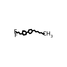 CCCCCCCC1CCC(c2ccc(CC=C(F)F)cc2)CC1